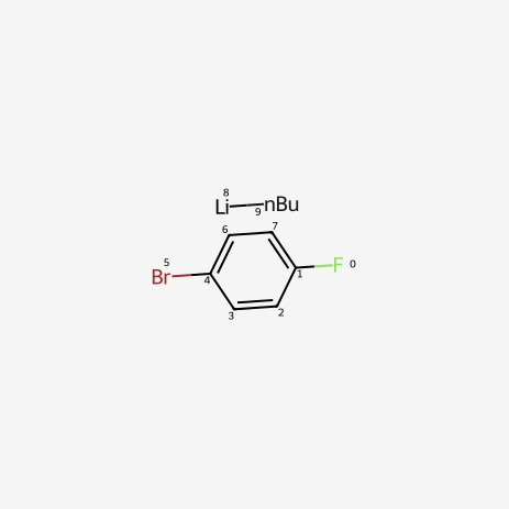 Fc1ccc(Br)cc1.[Li][CH2]CCC